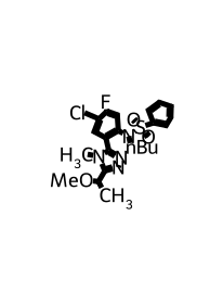 CCCCN(c1cc(F)c(Cl)cc1-c1nnc(C(C)OC)n1C)S(=O)(=O)c1ccccc1